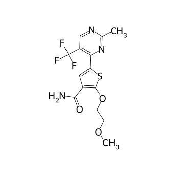 COCCOc1sc(-c2nc(C)ncc2C(F)(F)F)cc1C(N)=O